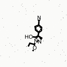 [CH2]CC(OC)n1ncc(-c2ccc(C#N)cc2)c1O